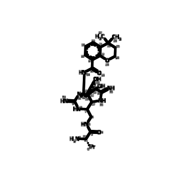 CC(C)[C@H](N)C(=O)NCC1NC(=N)N2CC(NC(=O)c3cccc4c3OCCC4(C)C)C(O)(O)C23NC(=N)NC13